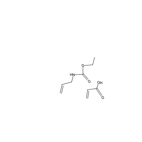 C=CC(=O)O.C=CCNC(=O)OCC